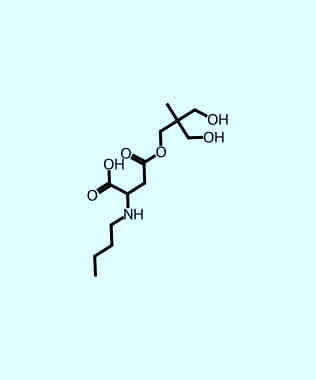 CCCCNC(CC(=O)OCC(C)(CO)CO)C(=O)O